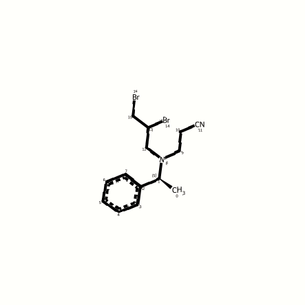 C[C@@H](c1ccccc1)N(CCC#N)CC(Br)CBr